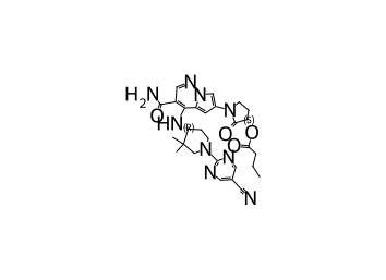 CCCC(=O)O[C@H]1CCN(c2cc3c(N[C@@H]4CCN(c5ncc(C#N)cn5)CC4(C)C)c(C(N)=O)cnn3c2)C1=O